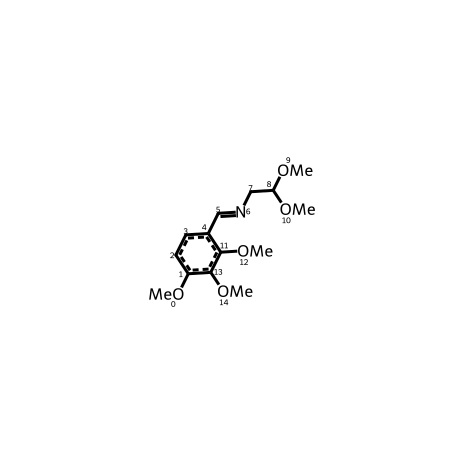 COc1ccc(C=NCC(OC)OC)c(OC)c1OC